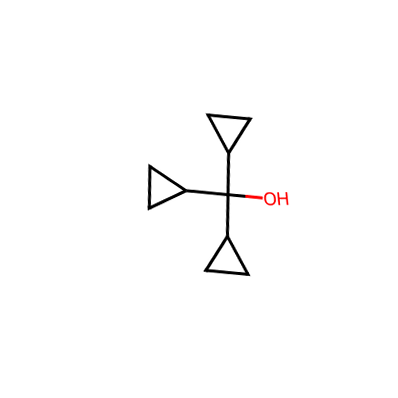 OC(C1CC1)(C1CC1)C1CC1